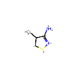 CC1CSN=C1N